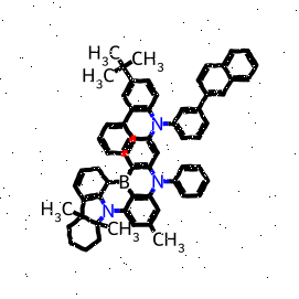 Cc1cc2c3c(c1)N1C4=C(C=CCC4B3c3ccc(N(c4cccc(-c5ccc6ccccc6c5)c4)c4ccc(C(C)(C)C)cc4-c4ccccc4)cc3N2c2ccccc2)C2(C)CCCCC12C